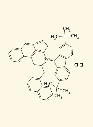 CC(C)(C)c1ccc2c(c1)[CH]([Zr+2]([C]1=CC=CC1)=[C](Cc1cccc3ccccc13)Cc1cccc3ccccc13)c1cc(C(C)(C)C)ccc1-2.[Cl-].[Cl-]